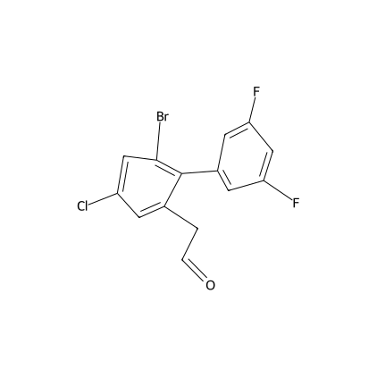 O=CCc1cc(Cl)cc(Br)c1-c1cc(F)cc(F)c1